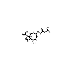 BC1CCC(OCC(=O)OC(C)C)CCc2c1nnn2C(C)C